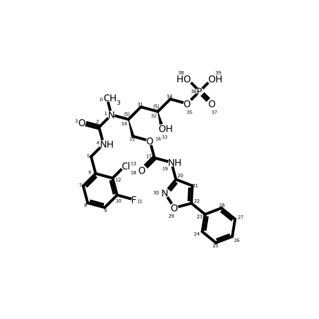 CN(C(=O)NCc1cccc(F)c1Cl)[C@H](COC(=O)Nc1cc(-c2ccccc2)on1)C[C@H](O)COP(=O)(O)O